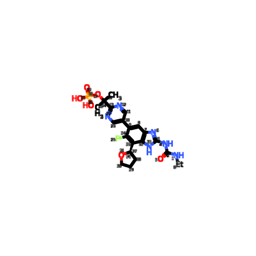 CCNC(=O)Nc1nc2cc(-c3cnc(C(C)(C)OP(=O)(O)O)nc3)c(F)c([C@H]3CCCO3)c2[nH]1